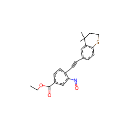 CCOC(=O)c1ccc(C#Cc2ccc3c(c2)C(C)(C)CCS3)c(N=O)c1